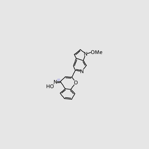 COn1ccc2cc(-c3c/c(=N/O)c4ccccc4o3)ncc21